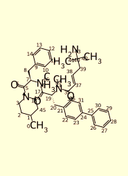 CC1CCN(C(=O)[C@@H](Cc2ccccc2)N(C)C(=O)[C@@H](Cc2ccc(-c3ccccc3)cc2)N(C)C(=O)/C=C/CC(C)(C)N)CC1